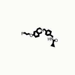 O=C(NCc1ccc(CN2CCc3cc(OCCCF)ccc3C2)cc1)C1CC1